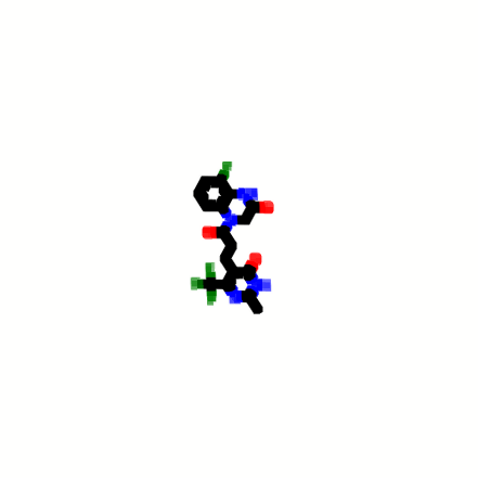 Cc1nc(C(F)(F)F)c(CCC(=O)N2CC(=O)Nc3c(F)cccc32)c(=O)[nH]1